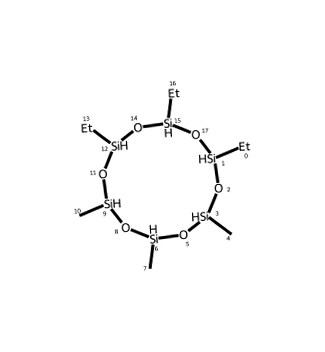 CC[SiH]1O[SiH](C)O[SiH](C)O[SiH](C)O[SiH](CC)O[SiH](CC)O1